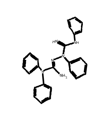 N=C(Nc1ccccc1)N(N=C(N)N(c1ccccc1)c1ccccc1)c1ccccc1